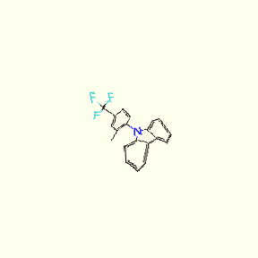 Cc1cc(C(F)(F)F)ccc1-n1c2ccccc2c2ccccc21